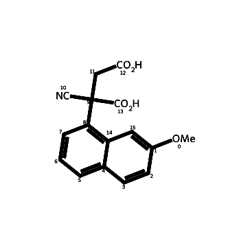 COc1ccc2cccc(C(C#N)(CC(=O)O)C(=O)O)c2c1